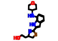 OCCC1CSC(c2cc3cccc(NC4CCOCC4)c3[nH]2)=N1